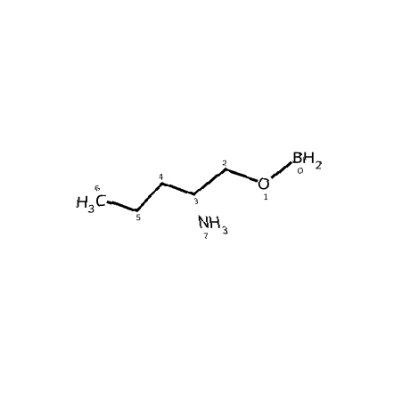 BOCCCCC.N